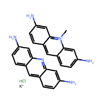 C[n+]1c2cc(N)ccc2cc2ccc(N)cc21.Cl.Nc1ccc2cc3ccc(N)cc3nc2c1.[K+]